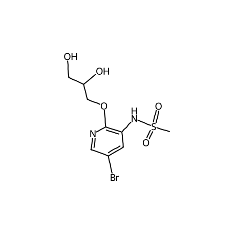 CS(=O)(=O)Nc1cc(Br)cnc1OCC(O)CO